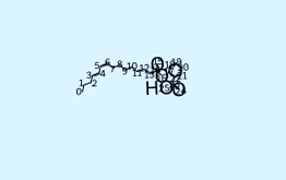 CCC/C=C/C=C\CCCCCCCC(=O)Oc1ccccc1C(=O)O